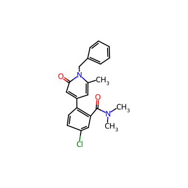 Cc1cc(-c2ccc(Cl)cc2C(=O)N(C)C)cc(=O)n1Cc1ccccc1